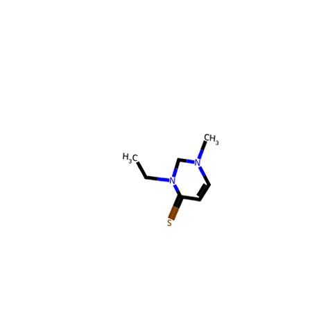 CCN1CN(C)C=CC1=S